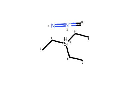 C=[N+]=[N-].CC[SiH](CC)CC